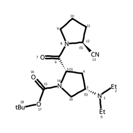 CCN(CC)[C@H]1C[C@@H](C(=O)N2CCC[C@H]2C#N)N(C(=O)OC(C)(C)C)C1